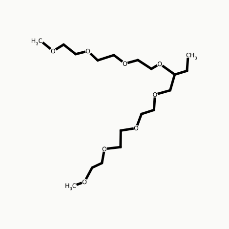 CCC(COCCOCCOCCOC)OCCOCCOCCOC